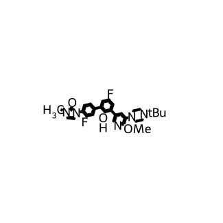 COc1ncc(-c2cc(F)cc(-c3ccc(-n4ccn(C)c4=O)c(F)c3)c2O)cc1N1CCN(C(C)(C)C)CC1